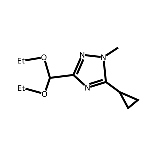 CCOC(OCC)c1nc(C2CC2)n(C)n1